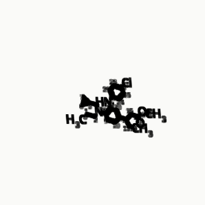 CCCN(CC1CC1)c1ccc(C(CC)CC(=O)OC)cc1Nc1ccc(Cl)cc1